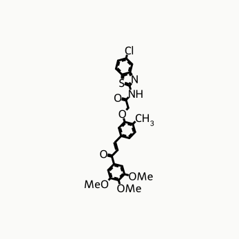 COc1cc(C(=O)/C=C/c2ccc(C)c(OCC(=O)Nc3nc4cc(Cl)ccc4s3)c2)cc(OC)c1OC